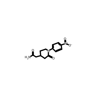 NC(=O)CC1CCN(c2ccc([N+](=O)[O-])cc2)C(=O)C1